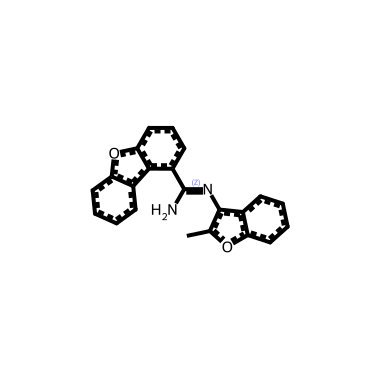 Cc1oc2ccccc2c1/N=C(\N)c1cccc2oc3ccccc3c12